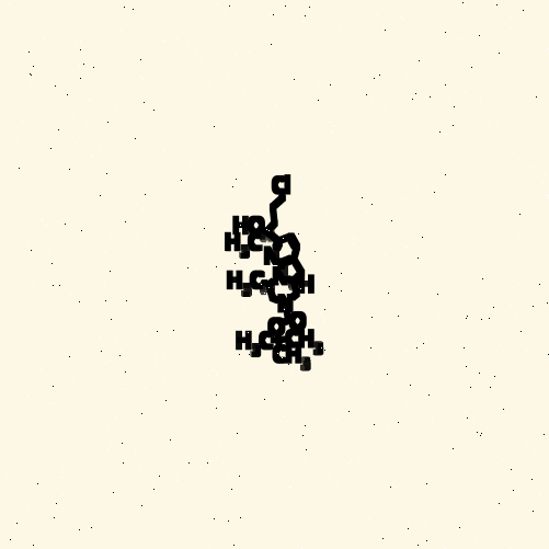 C[C@@H]1CN(C(=O)OC(C)(C)C)C[C@H]2Cc3ccc([C@@](C)(O)CCCCl)nc3N21